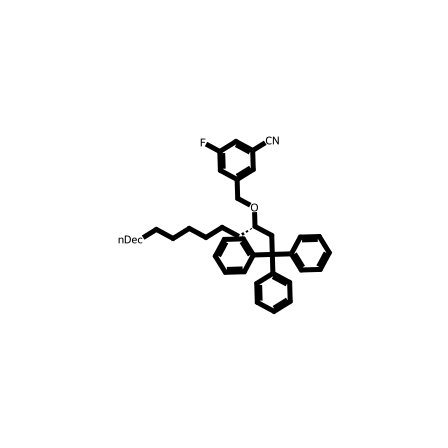 CCCCCCCCCCCCCCCC[C@@H](CC(c1ccccc1)(c1ccccc1)c1ccccc1)OCc1cc(F)cc(C#N)c1